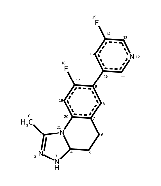 CC1=NNC2CCc3cc(-c4cncc(F)c4)c(F)cc3N12